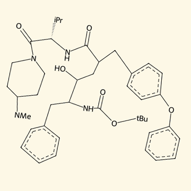 CNC1CCN(C(=O)[C@@H](NC(=O)C(Cc2ccc(Oc3ccccc3)cc2)CC(O)C(Cc2ccccc2)NC(=O)OC(C)(C)C)C(C)C)CC1